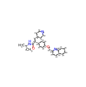 CC(C)NC(=O)/C(=C/c1ccncc1)c1ccc(OCc2ccc3ccccc3n2)cc1